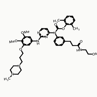 COCCNC(=O)CCc1cccc(N(C(=O)Oc2c(C)cccc2C)c2ccnc(Nc3cc(OC)c(OC)c(OCCCN4CCN(C)CC4)c3)n2)c1